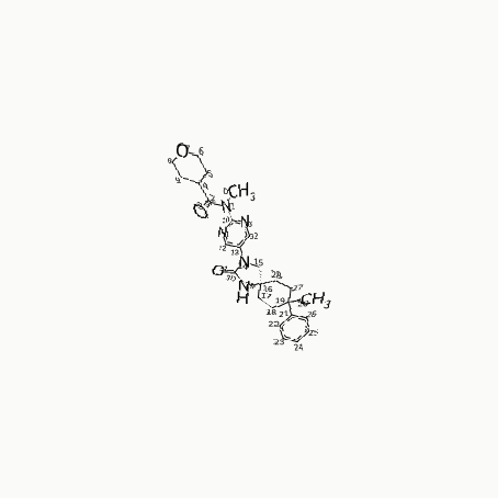 CN(C(=O)C1CCOCC1)c1ncc(N2C[C@]3(CC[C@@](C)(c4ccccc4)CC3)NC2=O)cn1